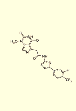 Cn1c(=O)[nH]c(=O)c2c(CC(=O)Nc3nc(-c4ccc(C(F)(F)F)c(F)c4)cs3)nsc21